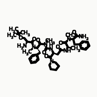 C[C@@H](NC(=O)C[C@H](NC(=O)N(C)C(=O)[C@H](Cc1ccccc1)N(C)C(=O)[C@@H](N)COC(C)(C)C)C(=O)N1CCCCC1)C(=O)N(C)C(Cc1ccccc1)C(N)=O